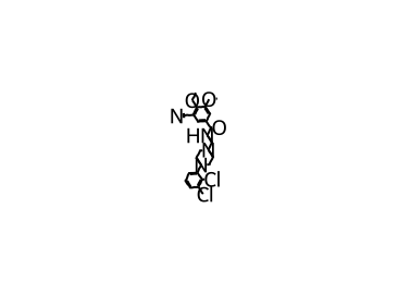 COc1cc(C(=O)NCN2CCN(c3cccc(Cl)c3Cl)CC2)cc(C#N)c1OC